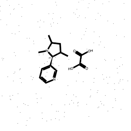 CC1CC(C)N(C)[C@@H]1c1cccnc1.O=C(O)C(=O)O